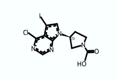 O=C(O)N1CC[C@H](n2cc(I)c3c(Cl)ncnc32)C1